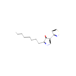 CCCCCCCCC1=NC=C(c2ccsn2)C1=O